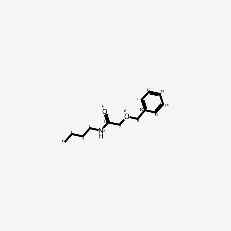 CCCCNC(=O)COCc1ccccc1